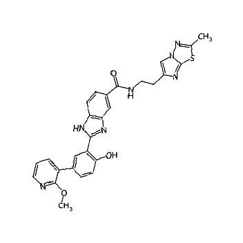 COc1ncccc1-c1ccc(O)c(-c2nc3cc(C(=O)NCCc4cn5nc(C)sc5n4)ccc3[nH]2)c1